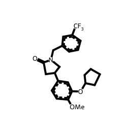 COc1ccc(C2CC(=O)N(Cc3cccc(C(F)(F)F)c3)C2)cc1OC1CCCC1